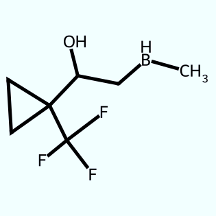 CBCC(O)C1(C(F)(F)F)CC1